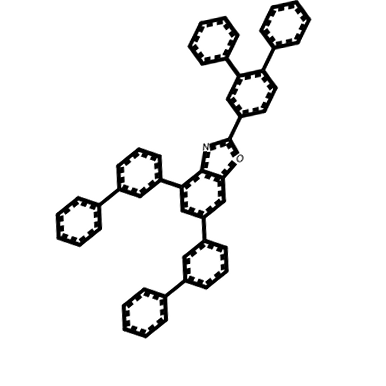 c1ccc(-c2cccc(-c3cc(-c4cccc(-c5ccccc5)c4)c4nc(-c5ccc(-c6ccccc6)c(-c6ccccc6)c5)oc4c3)c2)cc1